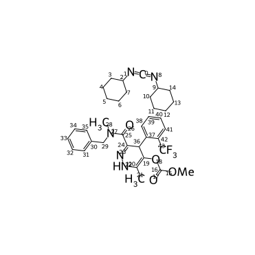 C(=NC1CCCCC1)=NC1CCCCC1.COC(=O)OC1=C(C)NN=C(C(=O)N(C)Cc2ccccc2)C1c1ccccc1C(F)(F)F